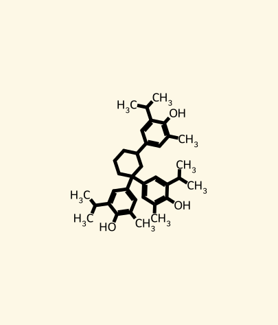 Cc1cc(C2CCCC(c3cc(C)c(O)c(C(C)C)c3)(c3cc(C)c(O)c(C(C)C)c3)C2)cc(C(C)C)c1O